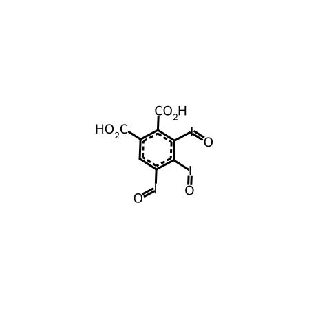 O=Ic1cc(C(=O)O)c(C(=O)O)c(I=O)c1I=O